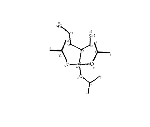 CC(C)O[Si](OC(C)C)(OC(C)C)C(CS)CCS